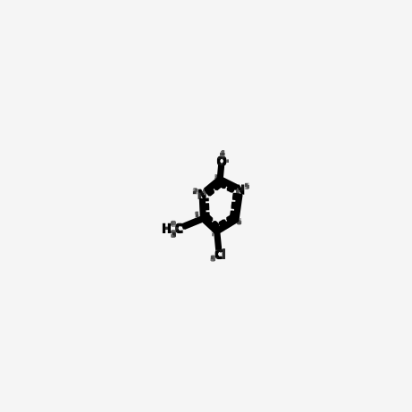 Cc1nc([O])ncc1Cl